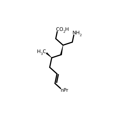 CCC/C=C/C[C@@H](C)C[C@H](CN)CC(=O)O